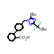 CCCCC(F)(F)c1nc(C(C)(C)C)n(Cc2ccc(-c3ccccc3C(=O)O)cc2)n1